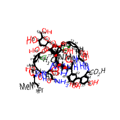 CN[C@H](CC(C)C)C(=O)N[C@H]1C(=O)N[C@@H](CC(N)=O)C(=O)N[C@H]2C(=O)N[C@H]3C(=O)N[C@H](C(=O)NC(C(=O)O)c4cc(O)cc(O)c4-c4cc3ccc4O)[C@H](O)c3ccc(c(Cl)c3)Oc3cc2cc(c3OC2OC(CO)C(O)C(O)C2OC2CC(C)(NC)C(O)C(C)O2)Oc2ccc(cc2Cl)[C@H]1O